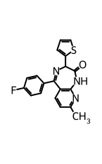 Cc1ccc2c(n1)NC(=O)C(c1cccs1)N=C2c1ccc(F)cc1